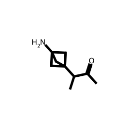 CC(=O)C(C)C12CC(N)(C1)C2